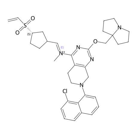 C=CS(=O)(=O)[C@H]1CCC(/C=[N+](\C)c2nc(OCC34CCCN3CCC4)nc3c2CCN(c2cccc4cccc(Cl)c24)C3)C1